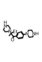 CCC(C)(C(=O)c1ccc(N2CCNCC2)cc1)N1CCNCC1